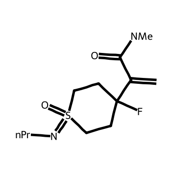 C=C(C(=O)NC)C1(F)CCS(=O)(=NCCC)CC1